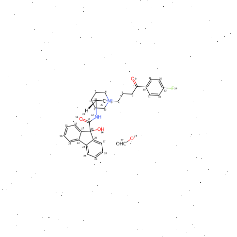 O=C(CCC[N+]12CCC(CC1)[C@@H](NC(=O)C1(O)c3ccccc3-c3ccccc31)C2)c1ccc(F)cc1.O=C[O-]